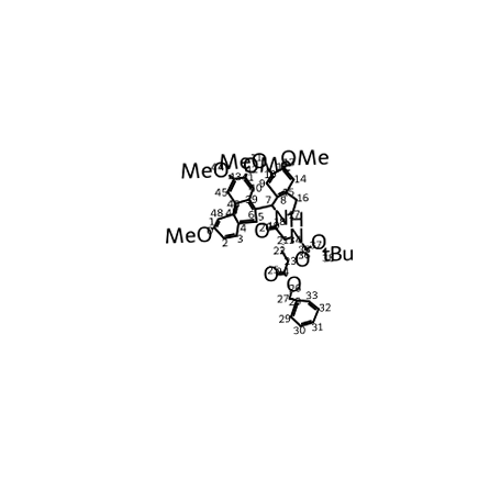 COc1ccc2cc(C3c4cc(OC)c(OC)cc4CCN3C(=O)[C@@H](CCC(=O)OCc3ccccc3)NC(=O)OC(C)(C)C)c3cc(OC)c(OC)cc3c2c1